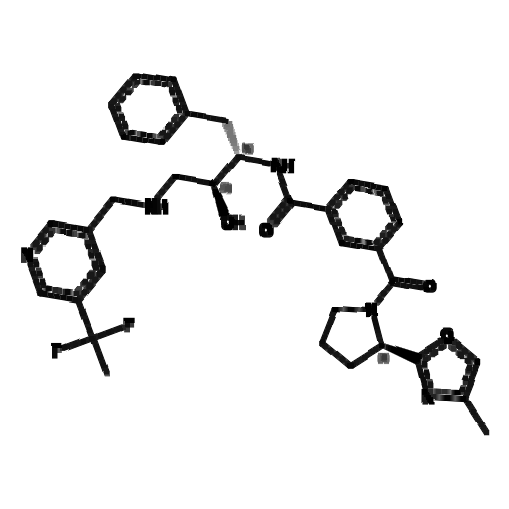 Cc1coc([C@H]2CCCN2C(=O)c2cccc(C(=O)N[C@@H](Cc3ccccc3)[C@@H](O)CNCc3cncc(C(C)(F)F)c3)c2)n1